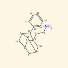 NCCC12CC3CC(CC(C3)C1c1ccccc1)C2